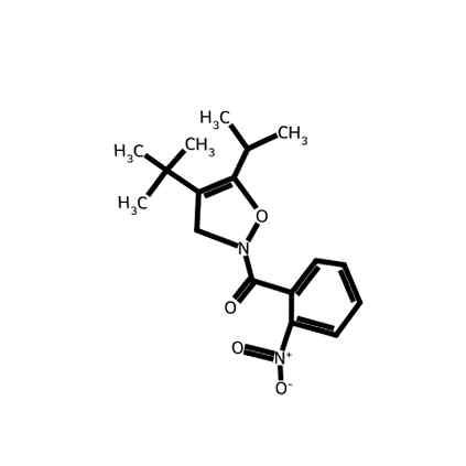 CC(C)C1=C(C(C)(C)C)CN(C(=O)c2ccccc2[N+](=O)[O-])O1